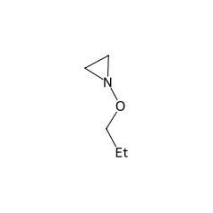 CCCON1CC1